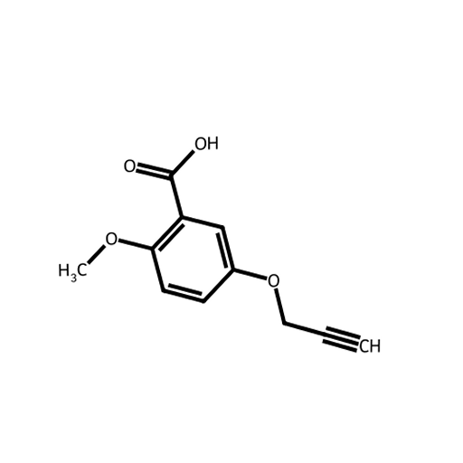 C#CCOc1ccc(OC)c(C(=O)O)c1